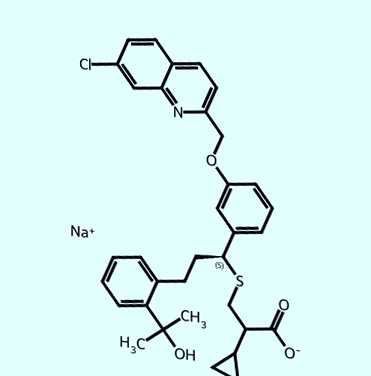 CC(C)(O)c1ccccc1CC[C@H](SCC(C(=O)[O-])C1CC1)c1cccc(OCc2ccc3ccc(Cl)cc3n2)c1.[Na+]